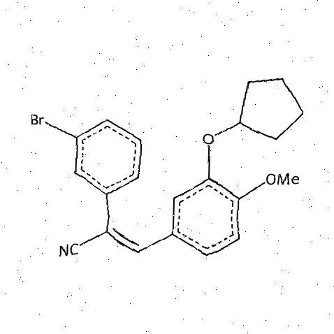 COc1ccc(C=C(C#N)c2cccc(Br)c2)cc1OC1CCCC1